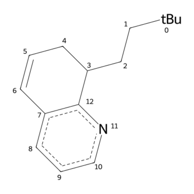 CC(C)(C)CCC1CC=Cc2cccnc21